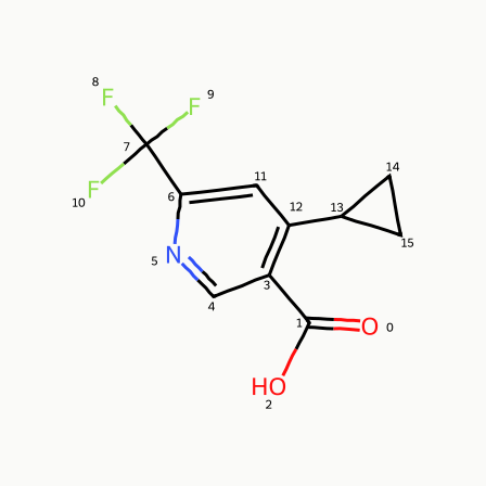 O=C(O)c1cnc(C(F)(F)F)cc1C1CC1